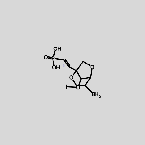 BC1COC2(/C=C/P(=O)(O)O)COC1C2OI